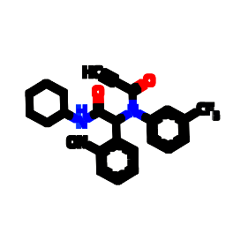 C#CC(=O)N(c1cccc(C(F)(F)F)c1)C(C(=O)NC1CCCCC1)c1ccccc1N=O